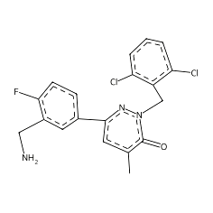 Cc1cc(-c2ccc(F)c(CN)c2)nn(Cc2c(Cl)cccc2Cl)c1=O